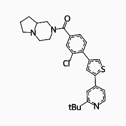 CC(C)(C)c1cc(-c2cc(-c3ccc(C(=O)N4CCN5CCCC5C4)cc3Cl)cs2)ccn1